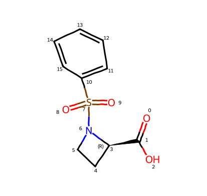 O=C(O)[C@H]1CCN1S(=O)(=O)c1ccccc1